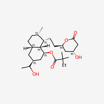 CCC(C)(C)C(=O)O[C@H]1C[C@@H](C(C)O)C[C@@H]2CC[C@H](C)[C@H](CC[C@@H]3C[C@@H](O)CC(=O)O3)[C@@H]21